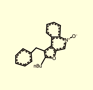 CCCCc1oc2c[n+]([O-])c3ccccc3c2c1Cc1ccccc1